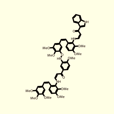 COc1ccc(C(=O)/C=C\Nc2c(/C=C\c3cc(OC)c(OC)c(OC)c3)ccc(OC)c2OC)cc1NOc1cc(/C=C\c2ccc(OC)c(OC)c2N/C=C\C(=O)c2c[nH]c3ccccc23)cc(OC)c1OC